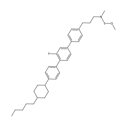 CCCCCC1CCC(c2ccc(-c3ccc(-c4ccc(CCCN(C)SOC)cc4)cc3F)cc2)CC1